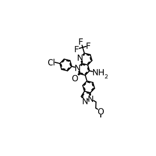 COCCn1ncc2cc(-c3c(N)c4ccc(C(F)(F)F)nc4n(-c4ccc(Cl)cc4)c3=O)ccc21